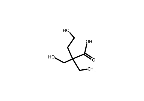 CCC(CO)(CCO)C(=O)O